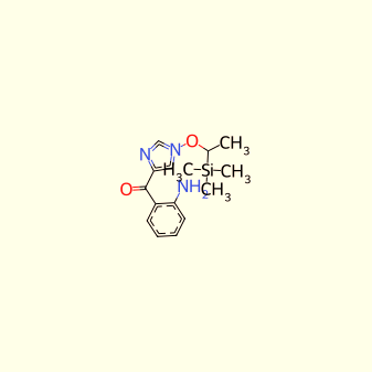 CC(On1cnc(C(=O)c2ccccc2N)c1)[Si](C)(C)C